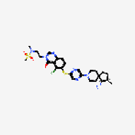 C[C@@H]1CCC2(CCN(c3cnc(Sc4ccc5ncn(CCN(C)S(C)(=O)=O)c(=O)c5c4Cl)cn3)CC2)[C@@H]1N